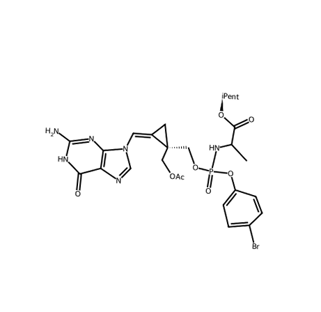 CCC[C@H](C)OC(=O)C(C)NP(=O)(OC[C@@]1(COC(C)=O)C/C1=C/n1cnc2c(=O)[nH]c(N)nc21)Oc1ccc(Br)cc1